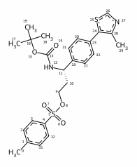 Cc1ccc(S(=O)(=O)OCC[C@H](NC(=O)OC(C)(C)C)c2ccc(-c3scnc3C)cc2)cc1